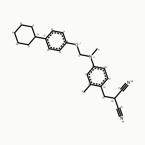 Cc1cc(N(C)COc2ccc(C3CCCCC3)cc2)ccc1CC(C#N)C#N